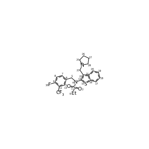 CCS(=O)(=O)N(Cc1ccc(F)c(C(F)(F)F)c1)c1sc2ccccc2c1CN1CCCC1